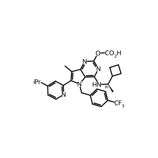 Cc1c(-c2cc(C(C)C)ccn2)n(Cc2ccc(C(F)(F)F)cc2)c2c(N[C@H](C)C3CCC3)nc(OC(=O)O)nc12